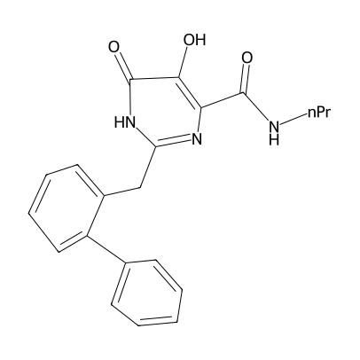 CCCNC(=O)c1nc(Cc2ccccc2-c2ccccc2)[nH]c(=O)c1O